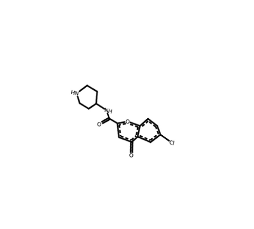 O=C(NC1CCNCC1)c1cc(=O)c2cc(Cl)ccc2o1